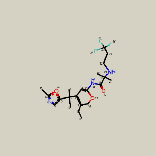 CCC1=C(C(C)(C)c2cnc(C)o2)C=C(NC(=O)C(C)(C)NCCC(F)(F)F)OC1